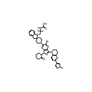 Cn1cc(-c2ccc3c(n2)CCCN3c2nn(C3CCCCC3=O)c3nc(N4CCC5(CC4)Cc4ccccc4[C@H]5CC(C)(C)NC(=O)O)c(Br)nc23)cn1